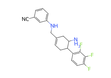 N#Cc1cccc(NCC2=CCC(c3ccc(F)c(F)c3F)C(N)C2)c1